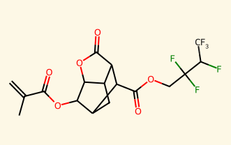 C=C(C)C(=O)OC1C2CC3C1OC(=O)C3C2C(=O)OCC(F)(F)C(F)C(F)(F)F